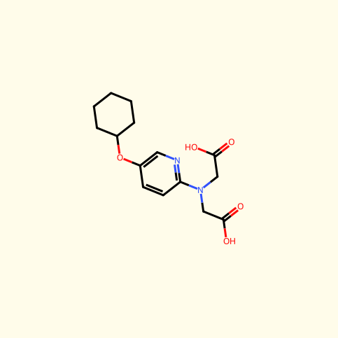 O=C(O)CN(CC(=O)O)c1ccc(OC2CCCCC2)cn1